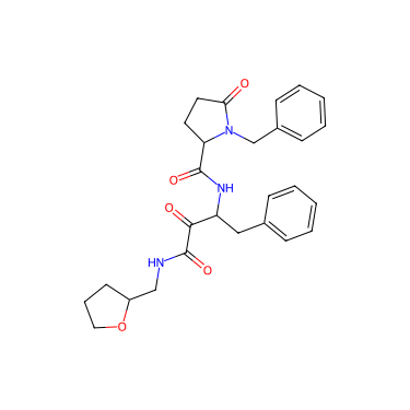 O=C(NCC1CCCO1)C(=O)C(Cc1ccccc1)NC(=O)C1CCC(=O)N1Cc1ccccc1